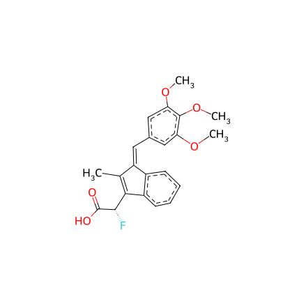 COc1cc(/C=C2/C(C)=C([C@H](F)C(=O)O)c3ccccc32)cc(OC)c1OC